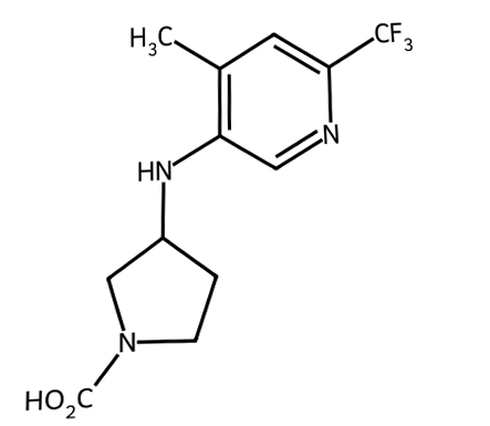 Cc1cc(C(F)(F)F)ncc1NC1CCN(C(=O)O)C1